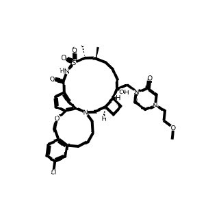 COCCN1CCN(C[C@]2(O)CCC[C@H](C)[C@@H](C)S(=O)(=O)NC(=O)c3ccc4c(c3)N(CCCCc3cc(Cl)ccc3CO4)C[C@@H]3CC[C@H]32)C(=O)C1